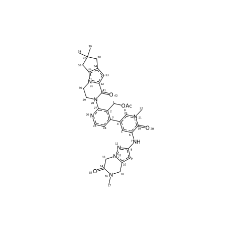 CC(=O)OCc1c(-c2cc(Nc3cc4n(n3)CC(=O)N(C)C4)c(=O)n(C)c2)ccnc1N1CCn2c(cc3c2CC(C)(C)C3)C1=O